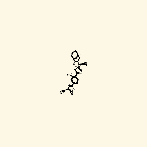 Cn1nc(-c2ccc(-c3ncc(N(C4CC4)[C@H]4C[C@]5(C)CCC[C@@](C)(C5)[C@H]4F)nn3)c(O)c2)nc1C#N